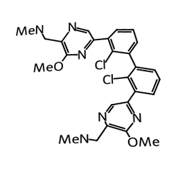 CNCc1ncc(-c2cccc(-c3cccc(-c4cnc(CNC)c(OC)n4)c3Cl)c2Cl)nc1OC